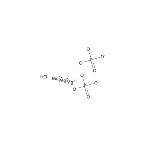 Cl.O=P([O-])([O-])[O-].O=P([O-])([O-])[O-].[Mg+2].[Mg+2].[Mg+2]